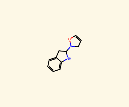 [CH]1C=CON1C1Cc2ccccc2N1